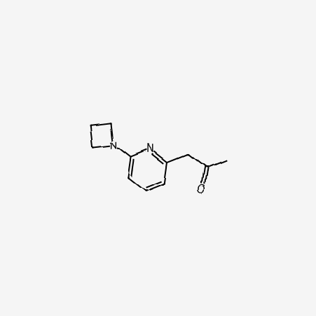 CC(=O)Cc1cccc(N2CCC2)n1